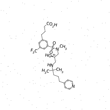 CN(C[C@H](O)CNC(C)(C)CCCc1ccncc1)S(=O)(=O)c1cc(CCCC(=O)O)cc(C(F)(F)F)c1